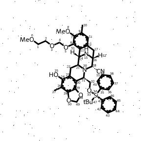 COCCOCOc1c(OC)c(C)cc2c1[C@@H]1N[C@H](C2)[C@H](C#N)N2C1Cc1c(O)c(C)c3c(c1[C@@H]2CO[Si](c1ccccc1)(c1ccccc1)C(C)(C)C)OCO3